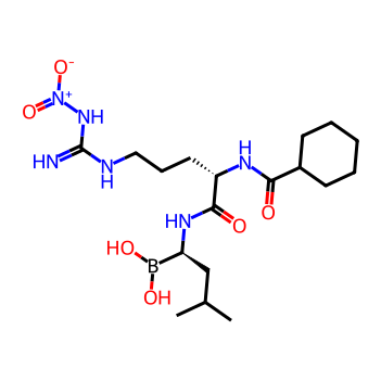 CC(C)C[C@H](NC(=O)[C@H](CCCNC(=N)N[N+](=O)[O-])NC(=O)C1CCCCC1)B(O)O